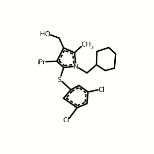 Cc1c(CO)c(C(C)C)c(Sc2cc(Cl)cc(Cl)c2)n1CC1CCCCC1